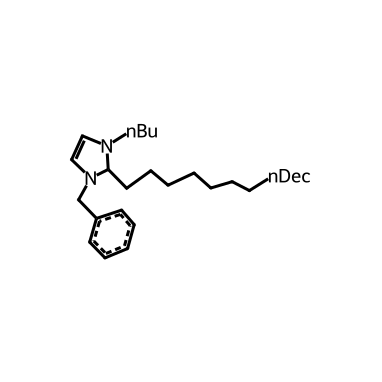 CCCCCCCCCCCCCCCCCC1N(CCCC)C=CN1Cc1ccccc1